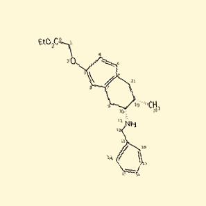 CCOC(=O)COc1ccc2c(c1)C[C@@H](NCc1ccccc1)[C@@H](C)C2